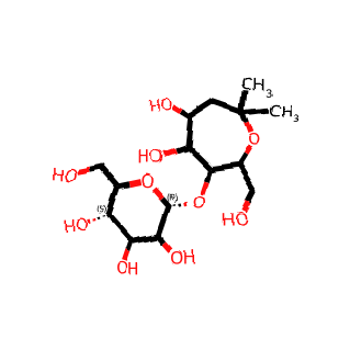 CC1(C)CC(O)C(O)C(O[C@H]2OC(CO)[C@@H](O)C(O)C2O)C(CO)O1